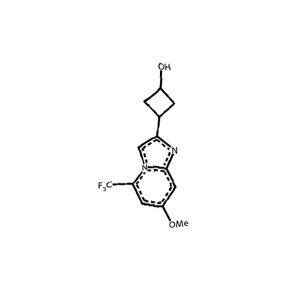 COc1cc(C(F)(F)F)n2cc(C3CC(O)C3)nc2c1